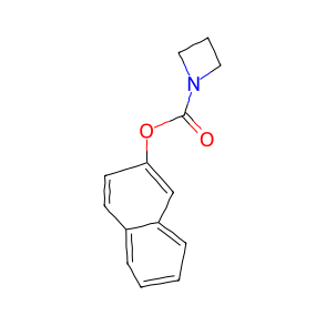 O=C(Oc1ccc2ccccc2c1)N1CCC1